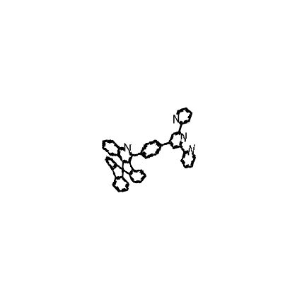 c1ccc(-c2cc(-c3ccc(-c4nc5ccccc5c5c4-c4ccccc4C54c5ccccc5-c5ccccc54)cc3)cc(-c3ccccn3)n2)nc1